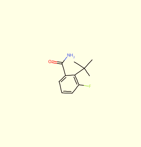 CC(C)(C)c1c(F)cccc1C(N)=O